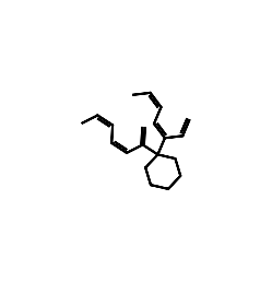 C=C/C(=C\C=C/C)C1(C(=C)/C=C\C=C/C)CCCCC1